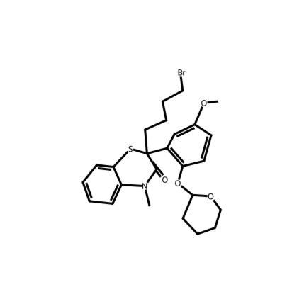 COc1ccc(OC2CCCCO2)c(C2(CCCCBr)Sc3ccccc3N(C)C2=O)c1